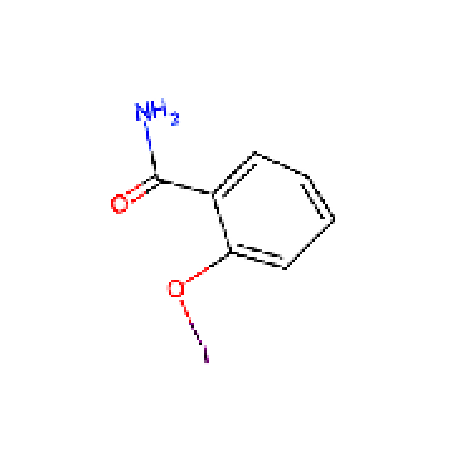 NC(=O)c1ccccc1OI